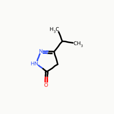 CC(C)C1=NNC(=O)C1